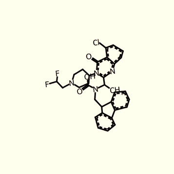 CC(c1nc2cccc(Cl)c2c(=O)n1C1CCN(CC(F)F)CC1)N(CC1c2ccccc2-c2ccccc21)C(=O)O